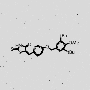 COc1c(C(C)(C)C)cc(COc2ccc(C=C3SC(=S)NC3=O)cc2)cc1C(C)(C)C